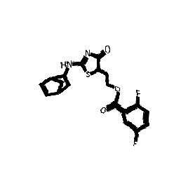 O=C(OCCC1SC(NC2CC3C=CC2C3)=NC1=O)c1cc(F)ccc1F